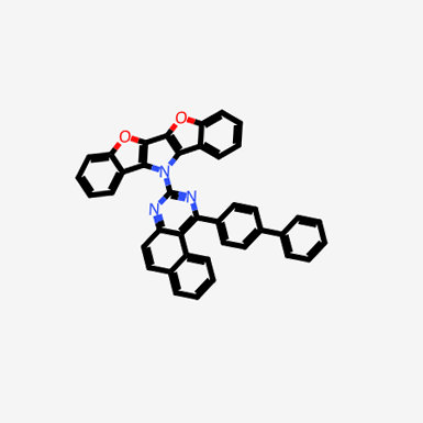 c1ccc(-c2ccc(-c3nc(-n4c5c6ccccc6oc5c5oc6ccccc6c54)nc4ccc5ccccc5c34)cc2)cc1